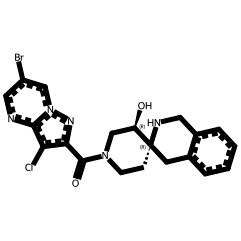 O=C(c1nn2cc(Br)cnc2c1Cl)N1CC[C@]2(Cc3ccccc3CN2)[C@H](O)C1